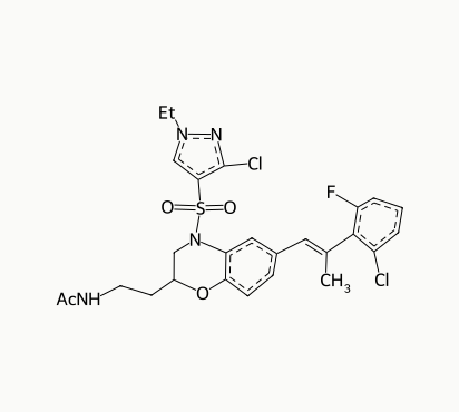 CCn1cc(S(=O)(=O)N2CC(CCNC(C)=O)Oc3ccc(C=C(C)c4c(F)cccc4Cl)cc32)c(Cl)n1